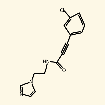 O=C(C#Cc1cccc(Cl)c1)NCCn1ccnc1